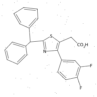 O=C(O)Cc1sc(C(c2ccccc2)c2ccccc2)nc1-c1ccc(F)c(F)c1